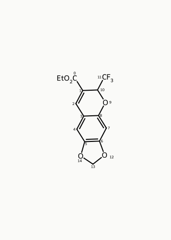 CCOC(=O)C1=Cc2cc3c(cc2OC1C(F)(F)F)OCO3